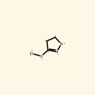 CCOC1=N[N]CC1